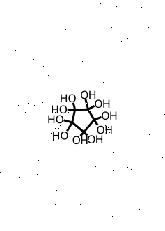 OC1(O)C(O)(O)C(O)(O)C(O)(O)C1(O)O